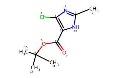 Cc1nc(Cl)c(C(=O)OC(C)(C)C)[nH]1